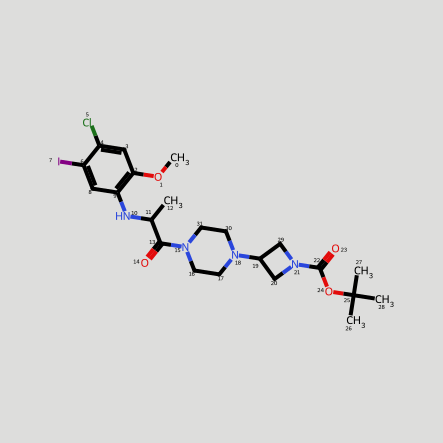 COc1cc(Cl)c(I)cc1NC(C)C(=O)N1CCN(C2CN(C(=O)OC(C)(C)C)C2)CC1